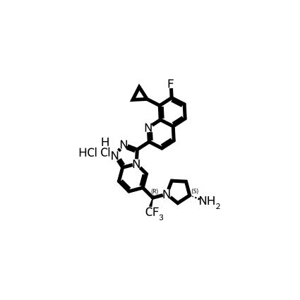 Cl.Cl.N[C@H]1CCN([C@H](c2ccc3nnc(-c4ccc5ccc(F)c(C6CC6)c5n4)n3c2)C(F)(F)F)C1